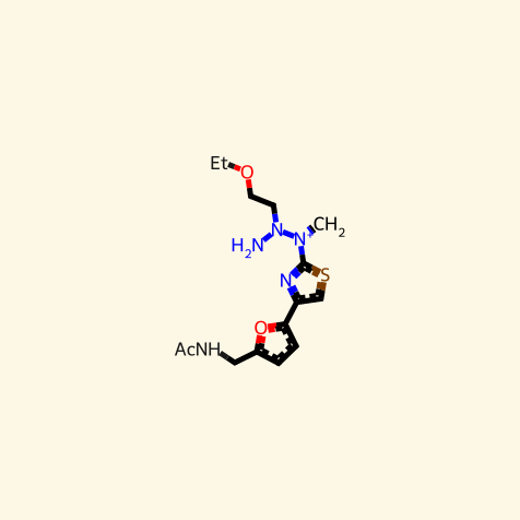 C=[N+](c1nc(-c2ccc(CNC(C)=O)o2)cs1)N(N)CCOCC